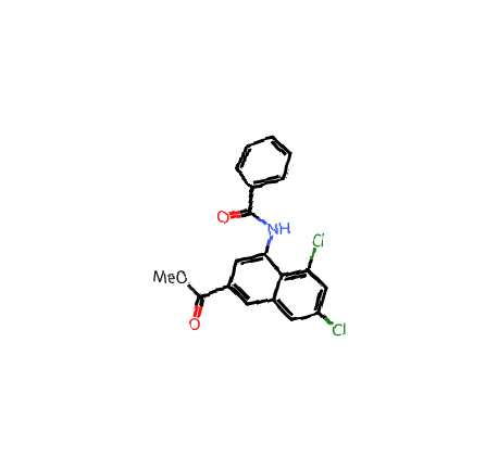 COC(=O)c1cc(NC(=O)c2ccccc2)c2c(Cl)cc(Cl)cc2c1